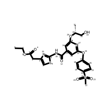 CCOC(=O)Cc1csc(NC(=O)c2cc(Oc3ccc(S(C)(=O)=O)cc3)nc(O[C@H](C)CO)c2)n1